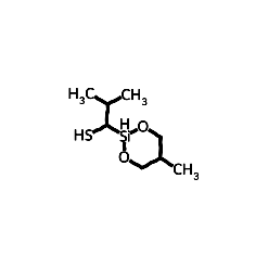 CC1CO[SiH](C(S)C(C)C)OC1